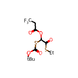 CCSC(=O)C(OC(=O)CC(F)(F)F)SC(=O)OC(C)(C)C